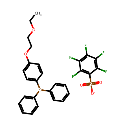 CCOCCOc1ccc([S+](c2ccccc2)c2ccccc2)cc1.O=S(=O)([O-])c1c(F)c(F)c(F)c(F)c1F